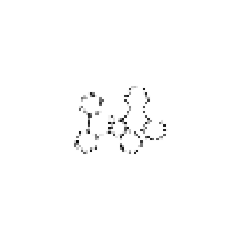 C1=CC(c2ccccc2)C(c2oc(-c3ccccc3-c3ccccc3)c3ccccc23)C=C1